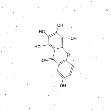 O=c1c2cc(O)ccc2oc2c(O)c(O)c(O)c(O)c12